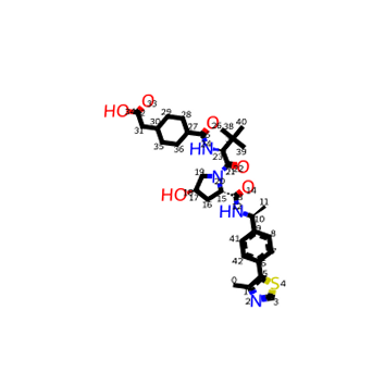 Cc1ncsc1-c1ccc([C@H](C)NC(=O)[C@@H]2C[C@@H](O)CN2C(=O)[C@@H](NC(=O)C2CCC(CC(=O)O)CC2)C(C)(C)C)cc1